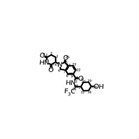 O=C1CCC(N2Cc3cc(C(=O)N[C@H](C4CCC(O)CC4)C(F)(F)F)ccc3C2=O)C(=O)N1